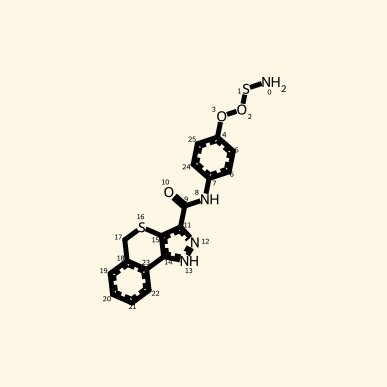 NSOOc1ccc(NC(=O)c2n[nH]c3c2SCc2ccccc2-3)cc1